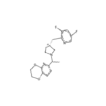 CC(c1ccc2c(n1)OCCO2)N1CC[C@H](Cc2ncc(F)cc2F)C1